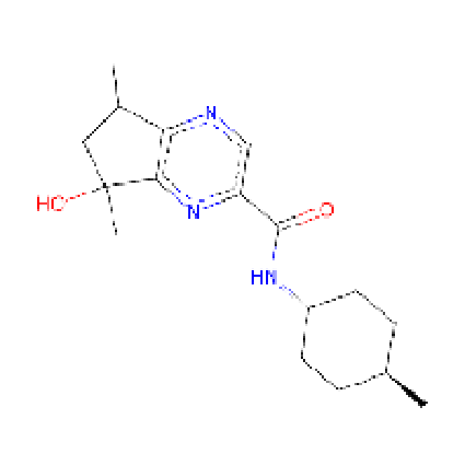 CC1CC(C)(O)c2nc(C(=O)N[C@H]3CC[C@H](C)CC3)cnc21